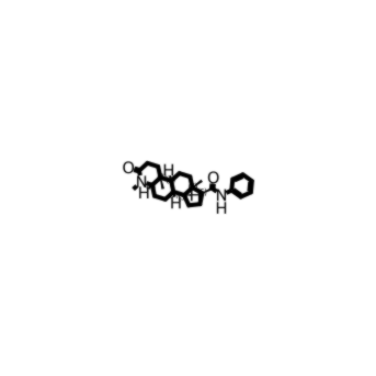 CN1C(=O)CC[C@]2(C)[C@H]3CC[C@]4(C)[C@@H](C(=O)Nc5ccccc5)CC[C@H]4[C@@H]3CC[C@@H]12